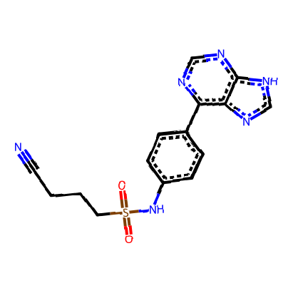 N#CCCCS(=O)(=O)Nc1ccc(-c2ncnc3[nH]cnc23)cc1